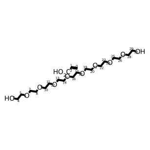 C=CC(=O)O.OCCOCCOCCOCCOCCOCCOCCOCCOCCO